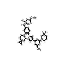 COC(=O)CS(=O)(=O)Nc1ccc(-n2cc(-c3cc(C)nc(N4CCCC(F)(F)C4)n3)cn2)c(N2CCC3(CC2)CC3)c1